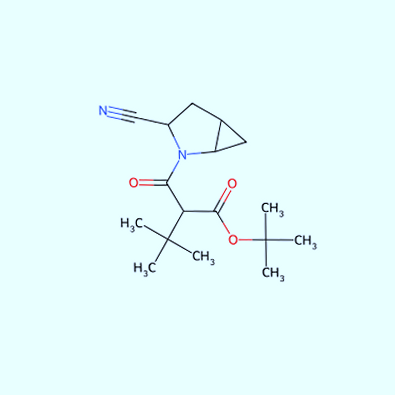 CC(C)(C)OC(=O)C(C(=O)N1C(C#N)CC2CC21)C(C)(C)C